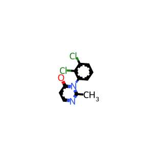 Cc1nccc(=O)n1-c1cccc(Cl)c1Cl